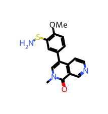 COc1ccc(-c2cn(C)c(=O)c3cnccc23)cc1SN